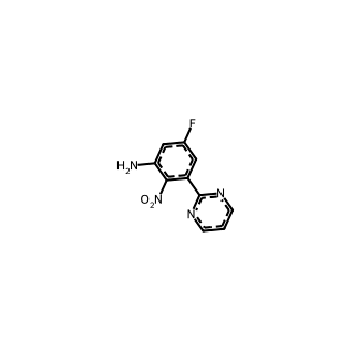 Nc1cc(F)cc(-c2ncccn2)c1[N+](=O)[O-]